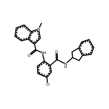 Cn1cc(C(=O)Nc2ccc(Cl)cc2C(=O)NC2Cc3ccccc3C2)c2ccccc21